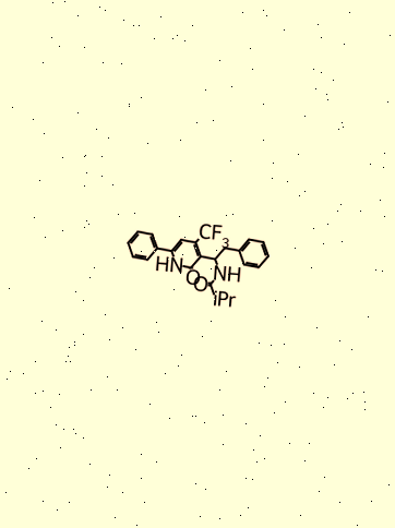 CC(C)C(=O)NC(Cc1ccccc1)c1c(C(F)(F)F)cc(-c2ccccc2)[nH]c1=O